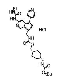 CCNC(=O)Nc1cc2c(-c3ccncc3)ccc(CNC(=O)OC[C@H]3CC[C@H](CNC(=O)OC(C)(C)C)CC3)c2cn1.Cl